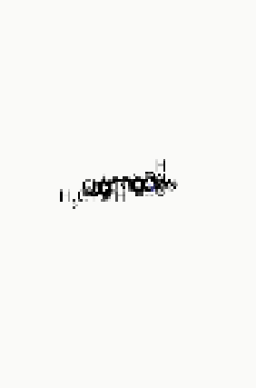 CC(C)Cc1ccc(CNCc2ccc(/C=C3/SC(=S)NC3=O)cc2)cc1